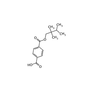 CC(C)C(C)(C)COC(=O)c1ccc(C(=O)O)cc1